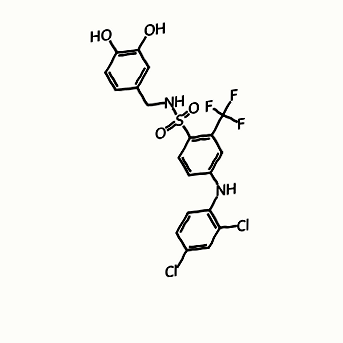 O=S(=O)(NCc1ccc(O)c(O)c1)c1ccc(Nc2ccc(Cl)cc2Cl)cc1C(F)(F)F